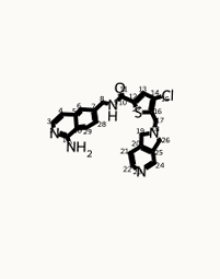 Nc1nccc2cc(CNC(=O)c3cc(Cl)c(CN4Cc5ccncc5C4)s3)ccc12